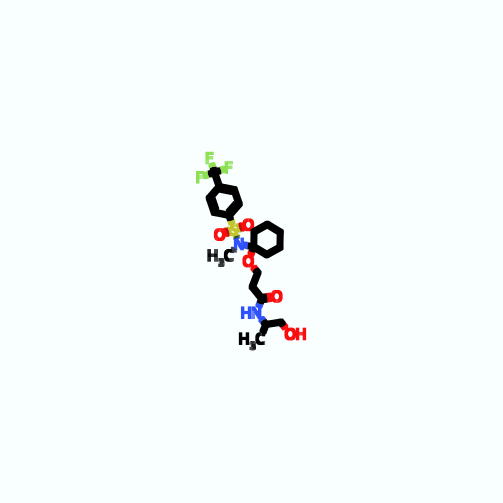 CC(CO)NC(=O)CCOC1(N(C)S(=O)(=O)c2ccc(C(F)(F)F)cc2)CCCCC1